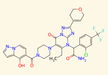 CCc1c(N2CCN(C(=O)c3ccn4nccc4c3O)CC2)c(=O)n2nc(C3=CCOCC3)nc2n1C(C(N)=O)c1ccc(C(F)(F)F)cc1Cl